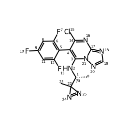 C[C@@H](Nc1c(-c2c(F)cc(F)cc2F)c(Cl)nc2ncnn12)C1(C)N=N1